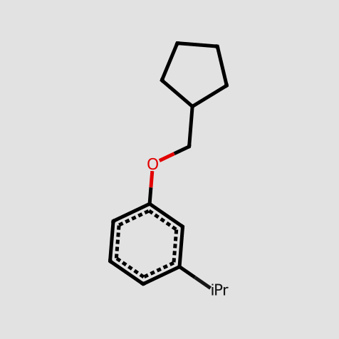 CC(C)c1cccc(OCC2CCCC2)c1